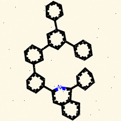 c1ccc(-c2cc(-c3ccccc3)cc(-c3cccc(-c4cccc(-c5cc6ccccc6c(-c6ccccc6)n5)c4)c3)c2)cc1